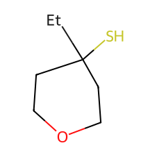 CCC1(S)CCOCC1